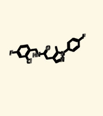 Cc1c(CC(=O)NCc2ccc(F)cc2Cl)cnn1-c1ccc(F)cc1